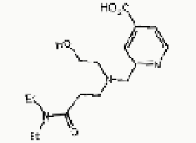 CCN(CC)C(=O)CCN(CCO)Cc1cc(C(=O)O)ccn1